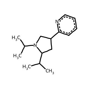 CC(C)C1CC(c2ccccn2)CN1C(C)C